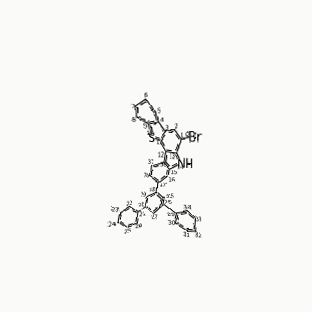 Brc1cc2c3ccccc3sc2c2c1[nH]c1cc(-c3cc(-c4ccccc4)cc(-c4ccccc4)c3)ccc12